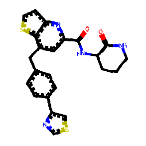 O=C(NC1CCCNC1=O)c1cc(Cc2ccc(-c3cscn3)cc2)c2sccc2n1